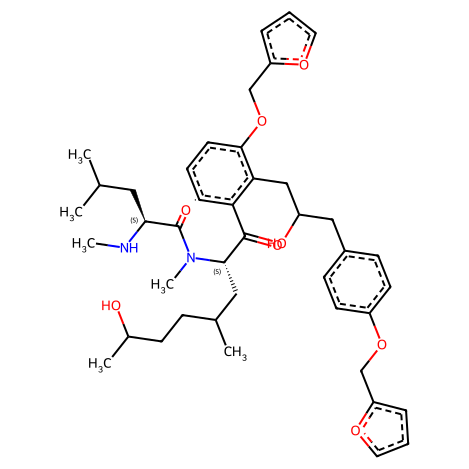 CN[C@@H](CC(C)C)C(=O)N(C)[C@@H](CC(C)CCC(C)O)C(=O)c1[c]ccc(OCc2ccco2)c1CC(O)Cc1ccc(OCc2ccco2)cc1